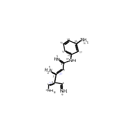 N=CC(=C\N)/C(N)=C/C(=N)Nc1cccc(N)c1